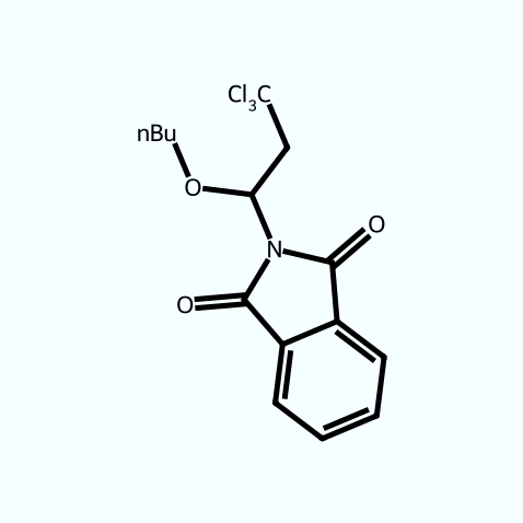 CCCCOC(CC(Cl)(Cl)Cl)N1C(=O)c2ccccc2C1=O